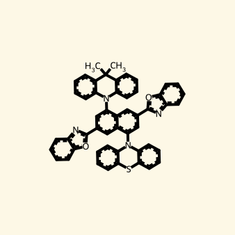 CC1(C)c2ccccc2N(c2cc(-c3nc4ccccc4o3)cc3c(N4c5ccccc5Sc5ccccc54)cc(-c4nc5ccccc5o4)cc23)c2ccccc21